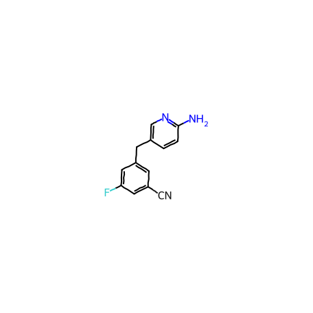 N#Cc1cc(F)cc(Cc2ccc(N)nc2)c1